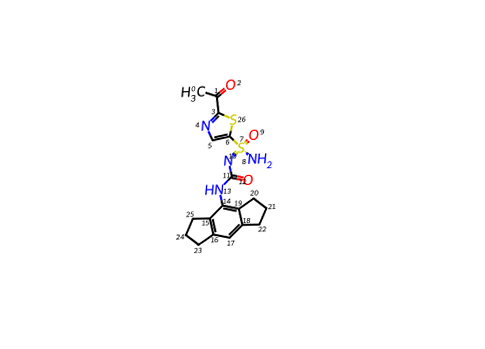 CC(=O)c1ncc([S@](N)(=O)=NC(=O)Nc2c3c(cc4c2CCC4)CCC3)s1